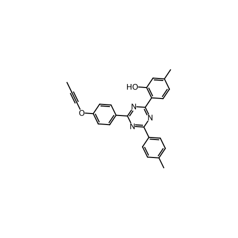 CC#COc1ccc(-c2nc(-c3ccc(C)cc3)nc(-c3ccc(C)cc3O)n2)cc1